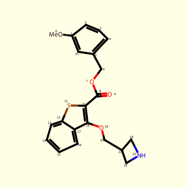 COc1cccc(COC(=O)c2sc3ccccc3c2OCC2CNC2)c1